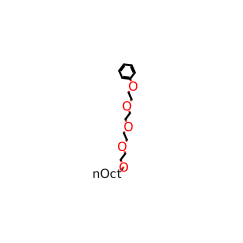 CCCCCCCCOCCOCCOCCOCCOc1ccccc1